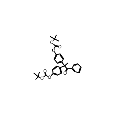 CC(C)(C)OC(=O)Oc1ccc(C(C)(C(=O)c2ccccc2)c2ccc(OC(=O)OC(C)(C)C)cc2)cc1